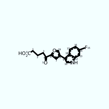 O=C(O)CCCC(=O)c1cc(-c2c[nH]c3cc(F)ccc23)co1